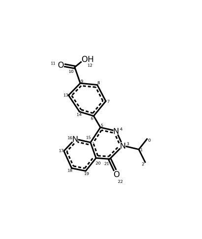 CC(C)n1nc(-c2ccc(C(=O)O)cc2)c2ncccc2c1=O